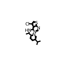 CC(C)c1ccc(C(C)Nc2ncnc3scc(Cl)c23)nc1